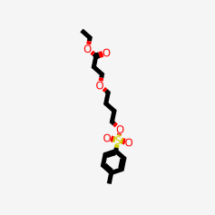 CCOC(=O)CCOCCCCOS(=O)(=O)c1ccc(C)cc1